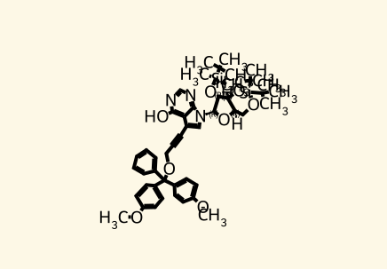 COc1ccc(C(OCC#Cc2cn([C@@H]3O[C@@H]4CO[Si](C(C)(C)C)(C(C)(C)C)O[C@H]4[C@H]3O[Si](C)(C)C(C)(C)C)c3ncnc(O)c23)(c2ccccc2)c2ccc(OC)cc2)cc1